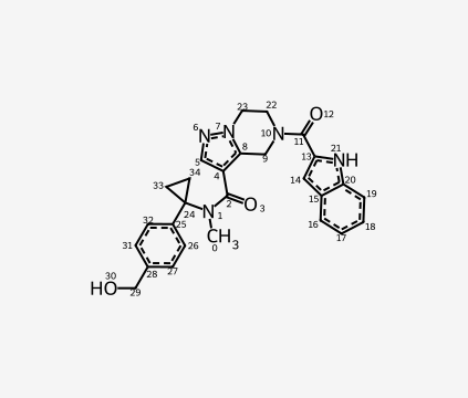 CN(C(=O)c1cnn2c1CN(C(=O)c1cc3ccccc3[nH]1)CC2)C1(c2ccc(CO)cc2)CC1